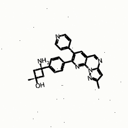 Cc1cc2ncc3cc(-c4ccncc4)c(-c4ccc([C@]5(N)C[C@](C)(O)C5)cc4)nc3n2n1